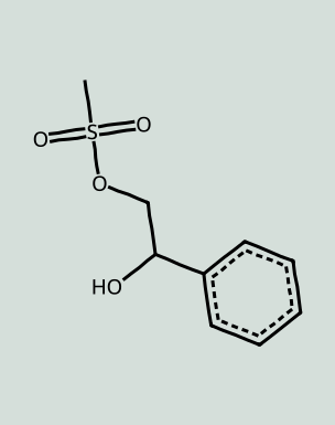 CS(=O)(=O)OCC(O)c1ccccc1